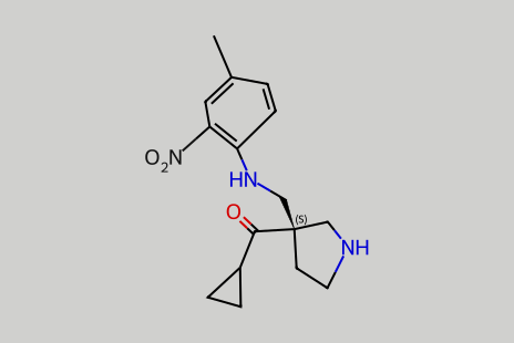 Cc1ccc(NC[C@]2(C(=O)C3CC3)CCNC2)c([N+](=O)[O-])c1